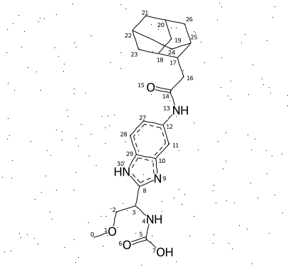 COCC(NC(=O)O)c1nc2cc(NC(=O)CC3C4CC5CC(C4)CC3C5)ccc2[nH]1